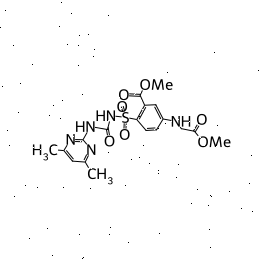 COC(=O)CNc1ccc(S(=O)(=O)NC(=O)Nc2nc(C)cc(C)n2)c(C(=O)OC)c1